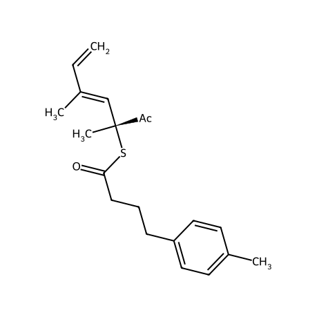 C=C/C(C)=C/[C@@](C)(SC(=O)CCCc1ccc(C)cc1)C(C)=O